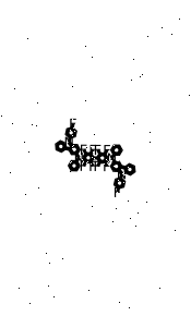 Fc1ccc(-n2c3ccccc3c3cc(N(c4ccccc4)c4c(F)c(F)c(-c5c(F)c(F)c(N(c6ccccc6)c6ccc7c(c6)c6ccccc6n7-c6ccc(F)cc6)c(F)c5F)c(F)c4F)ccc32)cc1